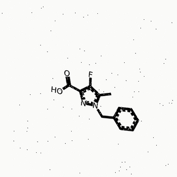 Cc1c(F)c(C(=O)O)nn1Cc1ccccc1